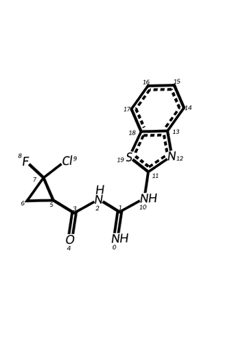 N=C(NC(=O)C1CC1(F)Cl)Nc1nc2ccccc2s1